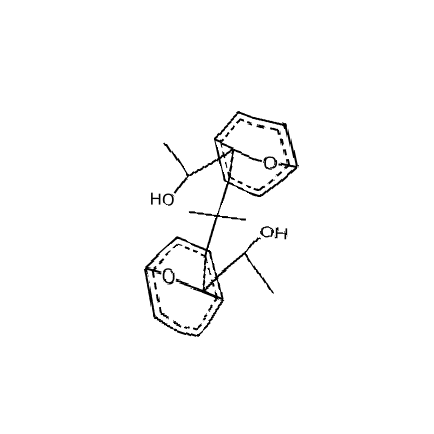 CC(O)C1(C(C)(C)C2(C(C)O)Oc3ccc2cc3)Oc2ccc1cc2